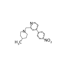 CC1CCN(Cc2cc(-c3ccc([N+](=O)[O-])cc3)ccn2)CC1